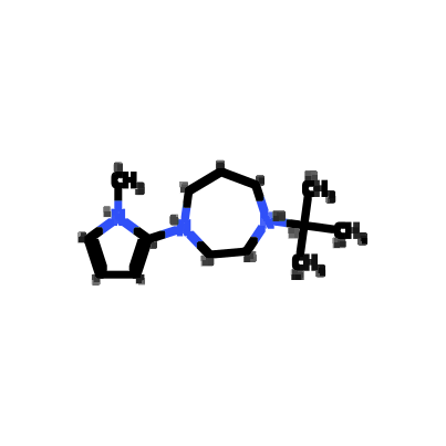 Cn1cccc1N1CCCN(C(C)(C)C)CC1